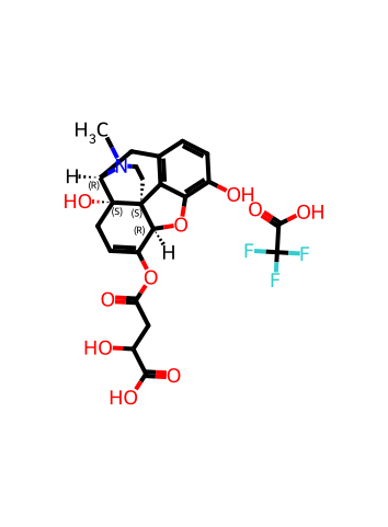 CN1CC[C@]23c4c5ccc(O)c4O[C@H]2C(OC(=O)CC(O)C(=O)O)=CC[C@@]3(O)[C@H]1C5.O=C(O)C(F)(F)F